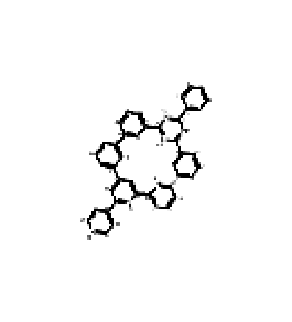 c1ccc(-c2nc(-c3ccccc3)nc(-c3cccc(-c4cccc(-c5cc(-c6ccncc6)nc(-c6ccccn6)c5)c4)c3)n2)cc1